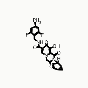 O=C(NCc1c(F)cc(P)cc1F)c1cn2c(c(O)c1=O)C(=O)N1C(C2)OC2C[C@H]1C1CC21